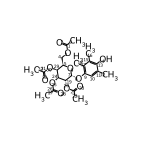 CC(=O)OC[C@H]1O[C@H](Oc2cc(C)c(O)c(C)c2C)[C@H](OC(C)=O)[C@@H](OC(C)=O)[C@H]1OC(C)=O